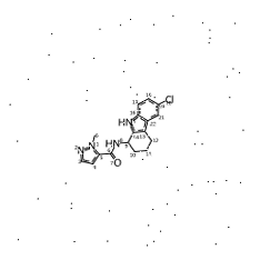 Cn1nccc1C(=O)NC1CCCc2c1[nH]c1ccc(Cl)cc21